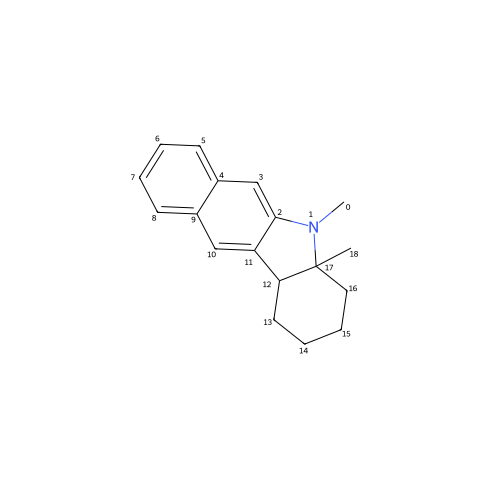 CN1c2cc3ccccc3cc2C2CCCCC21C